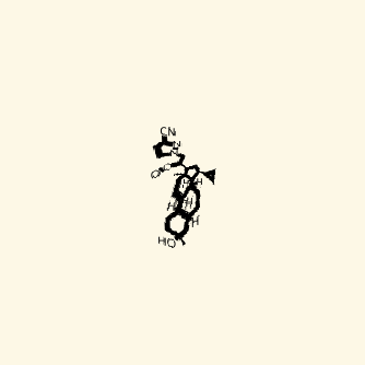 C[C@@]1(O)CC[C@H]2[C@H](CC[C@@H]3[C@@H]2CC[C@@]2(C)[C@H]3[C@H](C3CC3)C[C@@H]2C(=C=O)Cn2ccc(C#N)n2)C1